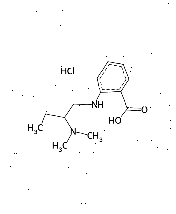 CCC(CNc1ccccc1C(=O)O)N(C)C.Cl